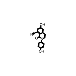 N#Cc1cc(O)cc2ccn(-c3ccc(O)cc3)c(=O)c12